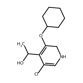 CC(O)C1=C(OC2CCCCC2)CNC=C1Cl